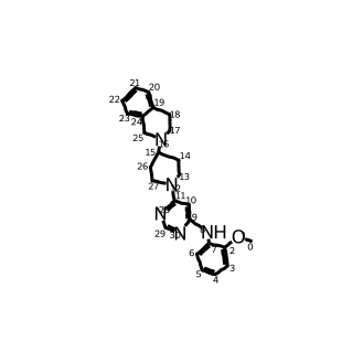 COc1ccccc1Nc1cc(N2CCC(N3CCc4ccccc4C3)CC2)ncn1